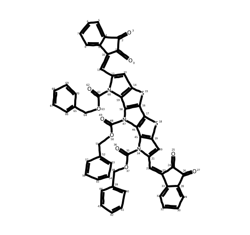 O=C1C(=O)c2ccccc2/C1=C/c1cc2sc3c4sc5cc(/C=C6\C(=O)C(=O)c7ccccc76)n(C(=O)OCc6ccccc6)c5c4n(C(=O)OCc4ccccc4)c3c2n1C(=O)OCc1ccccc1